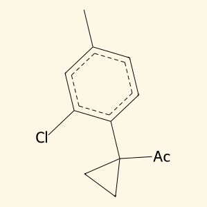 CC(=O)C1(c2ccc(C)cc2Cl)CC1